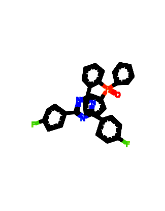 O=P(c1ccccc1)(c1ccccc1)c1ccccc1-c1nc(-c2ccc(F)cc2)nc(-c2ccc(F)cc2)n1